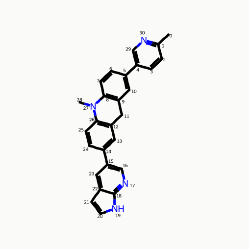 Cc1ccc(-c2ccc3c(c2)Cc2cc(-c4cnc5[nH]ccc5c4)ccc2N3C)cn1